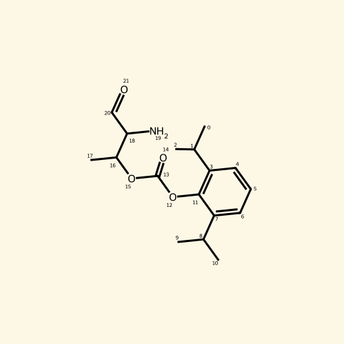 CC(C)c1cccc(C(C)C)c1OC(=O)OC(C)C(N)C=O